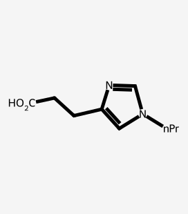 CCCn1cnc(CCC(=O)O)c1